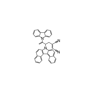 C=C(C(C/C(C#N)=C/C#N)n1c2ccc3ccccc3c2c2c3ccccc3ccc21)n1c2ccccc2c2ccccc21